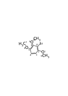 COc1ccc(OC)c(OC)c1I